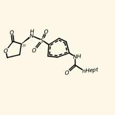 CCCCCCCC(=O)Nc1ccc(S(=O)(=O)N[C@H]2CCOC2=O)cc1